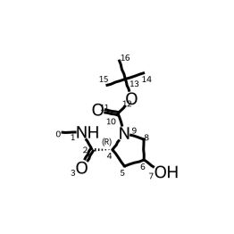 CNC(=O)[C@H]1CC(O)CN1C(=O)OC(C)(C)C